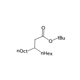 CCCCCCCCC(CCCCCC)CC(=O)OC(C)(C)C